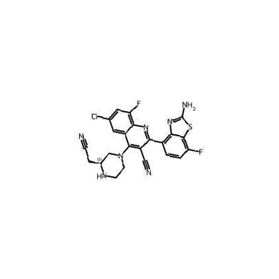 N#CC[C@H]1CN(c2c(C#N)c(-c3ccc(F)c4sc(N)nc34)nc3c(F)cc(Cl)cc23)CCN1